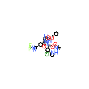 CC(C)(C)C[C@]1(c2ccc(-c3cnn(C(F)F)c3)cc2)N/C(=N\C(=O)OCc2ccccc2)N([C@H](COC(=O)NC2(C)CC2)c2ccc(Cl)c(-c3ccccn3)c2)C1=O